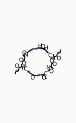 C/C=C/C(=O)C(C)(C)[C@@H]1C/C=C\C2OC2/C=C/[C@H](OC)Cc2nc(co2)C(=O)O[C@H](C(C)(C)C(=O)/C=C/C)C/C=C\[C@H]2O[C@H]2/C=C/C=C\c2nc(co2)C(=O)O1